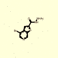 CC(=O)NNC(=O)c1cc2c(Br)cncc2s1